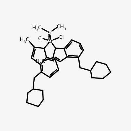 CC1=Cc2c(CC3CCCCC3)cccc2[CH]1[Zr]([Cl])([Cl])([CH]1C(C)=Cc2c(CC3CCCCC3)cccc21)[SiH](C)C